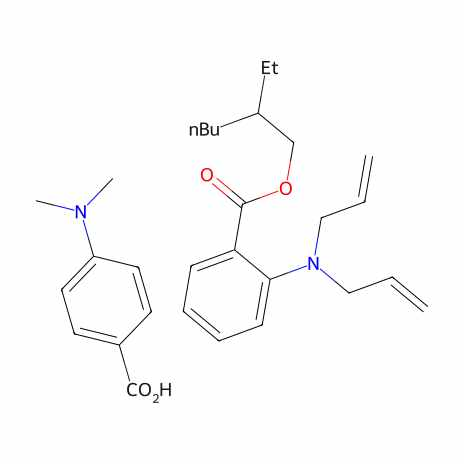 C=CCN(CC=C)c1ccccc1C(=O)OCC(CC)CCCC.CN(C)c1ccc(C(=O)O)cc1